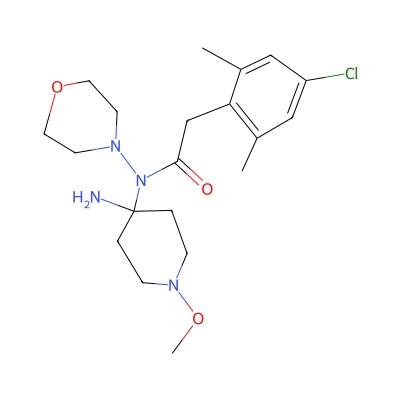 CON1CCC(N)(N(C(=O)Cc2c(C)cc(Cl)cc2C)N2CCOCC2)CC1